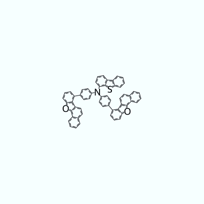 c1ccc2c(c1)ccc1c2oc2cccc(-c3ccc(N(c4ccc(-c5cccc6oc7c8ccccc8ccc7c56)cc4)c4cccc5c4sc4ccccc45)cc3)c21